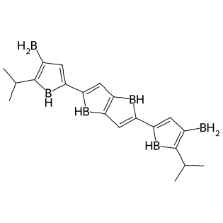 BC1=C(C(C)C)BC(C2=CC3=C(B2)C=C(C2=CC(B)=C(C(C)C)B2)B3)=C1